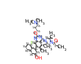 C=CC(=O)N1C[C@H](C)N(c2nc(OCCCN(C)C)nc3c(F)c(-c4cc(O)cc5ccccc45)c(C)cc23)C[C@H]1C